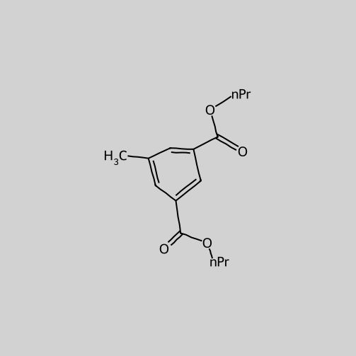 CCCOC(=O)c1cc(C)cc(C(=O)OCCC)c1